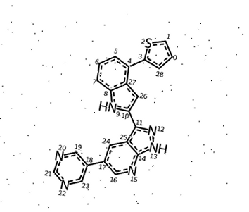 c1csc(-c2cccc3[nH]c(-c4n[nH]c5ncc(-c6cncnc6)cc45)cc23)c1